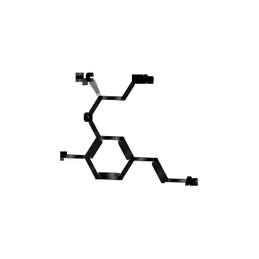 CNC[C@@H](C)Oc1cc(/C=C/C(C)=O)ccc1F